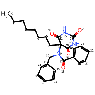 CCCCCCCCC1(N(Cc2ccccc2)C(=O)c2ccccc2)C(=O)NC(=O)NC1=O